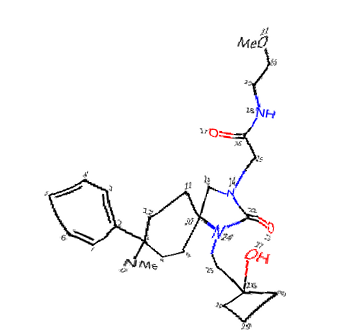 CNC1(c2ccccc2)CCC2(CC1)CN(CC(=O)NCCOC)C(=O)N2CC1(O)CCC1